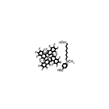 CCCCCCCCCCCCCCCCCC[NH+](C)c1ccc(CCCC)cc1.Fc1c(F)c(F)c2c(F)c([B-](c3c(F)c(F)c4c(F)c(F)c(F)c(F)c4c3F)(c3c(F)c(F)c4c(F)c(F)c(F)c(F)c4c3F)c3c(F)c(F)c4c(F)c(F)c(F)c(F)c4c3F)c(F)c(F)c2c1F